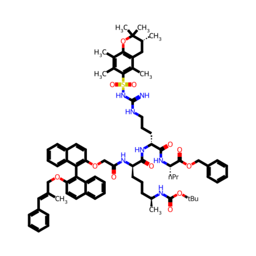 CCC[C@H](NC(=O)[C@@H](CCCNC(=N)NS(=O)(=O)c1c(C)c(C)c2c(c1C)C[C@@H](C)C(C)(C)O2)NC(=O)[C@@H](CCC[C@H](C)NC(=O)OC(C)(C)C)NC(=O)COc1ccc2ccccc2c1-c1c(OC/C(C)=C/c2ccccc2)ccc2ccccc12)C(=O)OCc1ccccc1